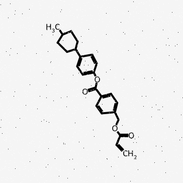 C=CC(=O)OCc1ccc(C(=O)Oc2ccc(C3CCC(C)CC3)cc2)cc1